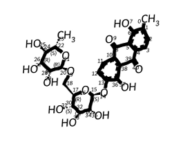 Cc1ccc2c(c1O)C(=O)c1ccc(O[C@@H]3O[C@H](CO[C@@H]4O[C@@H](C)[C@H](O)[C@@H](O)[C@H]4O)[C@@H](O)[C@H](O)[C@H]3O)c(O)c1C2=O